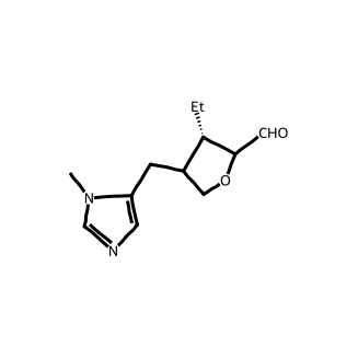 CC[C@H]1C(Cc2cncn2C)COC1C=O